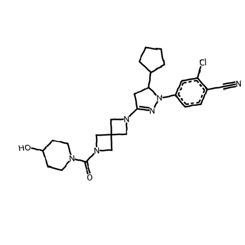 N#Cc1ccc(N2N=C(N3CC4(CN(C(=O)N5CCC(O)CC5)C4)C3)CC2C2CCCC2)cc1Cl